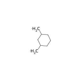 [CH2]C1CCCC([CH2])C1